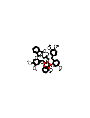 COc1ccc(C(c2ccc(OC)c(OC)c2)[C@@H](C(=O)[C@H](C(c2ccc(OC)cc2)c2ccc(OC)c(OC)c2)N2C(=O)c3ccccc3C2=O)N2C(=O)c3ccccc3C2=O)cc1